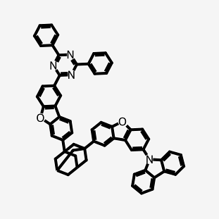 c1ccc(-c2nc(-c3ccccc3)nc(-c3ccc4oc5cc(C67CC8CC(C6)CC(c6ccc9oc%10ccc(-n%11c%12ccccc%12c%12ccccc%12%11)cc%10c9c6)(C8)C7)ccc5c4c3)n2)cc1